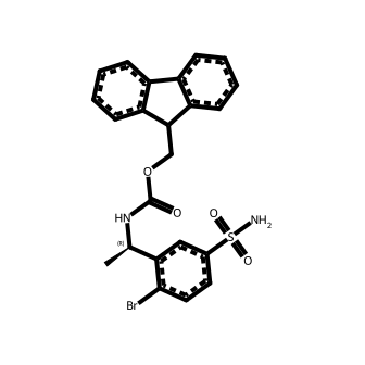 C[C@@H](NC(=O)OCC1c2ccccc2-c2ccccc21)c1cc(S(N)(=O)=O)ccc1Br